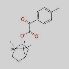 Cc1ccc(C(=O)C(=O)OC2CC3CC[C@]2(C)C3(C)C)cc1